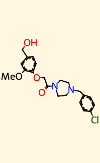 COc1cc(CO)ccc1OCC(=O)N1CCN(Cc2ccc(Cl)cc2)CC1